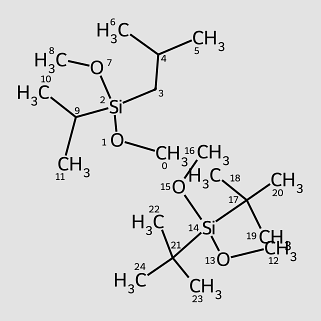 CO[Si](CC(C)C)(OC)C(C)C.CO[Si](OC)(C(C)(C)C)C(C)(C)C